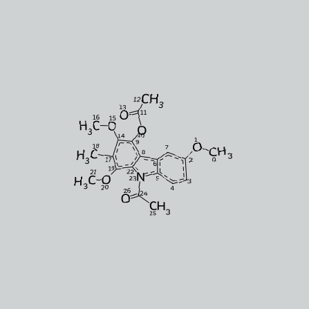 COc1ccc2c(c1)c1c(OC(C)=O)c(OC)c(C)c(OC)c1n2C(C)=O